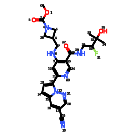 COC(=O)N1CC(CNc2cc(-c3ccc4cc(C#N)cnn34)ncc2C(=O)NCC(F)C(C)(C)O)C1